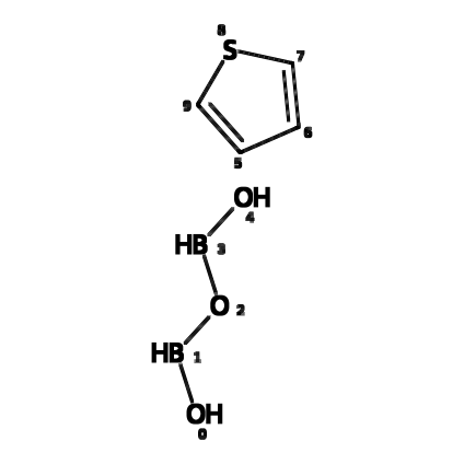 OBOBO.c1ccsc1